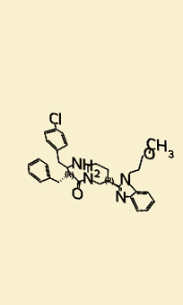 COCCCn1c([C@@H]2CCCN(C(=O)[C@H](Cc3ccccc3)C(N)Cc3ccc(Cl)cc3)C2)nc2ccccc21